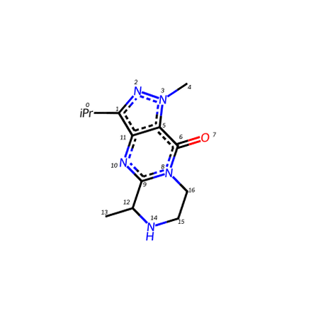 CC(C)c1nn(C)c2c(=O)n3c(nc12)C(C)NCC3